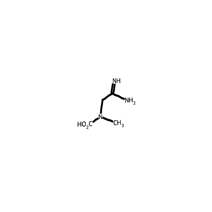 CN(CC(=N)N)C(=O)O